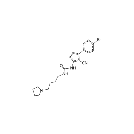 N#Cc1c(-c2ccc(Br)cc2)csc1NC(=O)NCCCCN1CCCC1